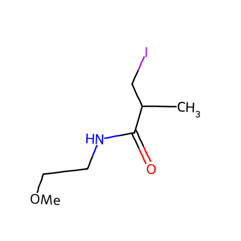 COCCNC(=O)C(C)CI